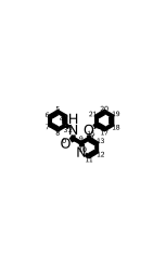 O=C(Nc1ccccc1)c1ncccc1Oc1ccccc1